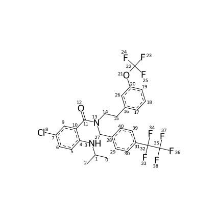 CC(C)Nc1ccc(Cl)cc1C(=O)N(CCc1cccc(OC(F)(F)F)c1)Cc1ccc(C(F)(F)C(F)(F)F)cc1